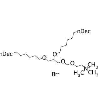 CCCCCCCCCCCCCCCCOCC(COCOCC[N+](C)(C)C)OCCCCCCCCCCCCCCCC.[Br-]